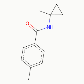 Cc1ccc(C(=O)NC2(C)CC2)cc1